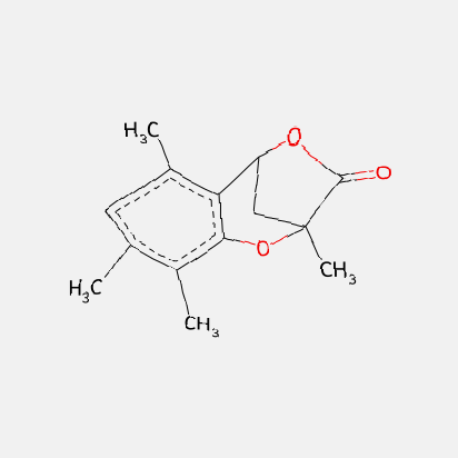 Cc1cc(C)c2c(c1C)OC1(C)CC2OC1=O